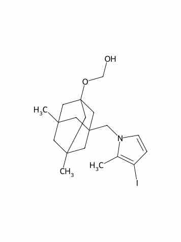 Cc1c(I)ccn1CC12CC3(C)CC(C)(C1)CC(OCO)(C3)C2